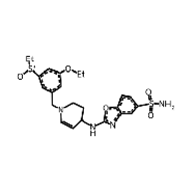 CCOc1cc(CN2C=CC(Nc3nc4cc(S(N)(=O)=O)ccc4o3)CC2)cc([S+]([O-])CC)c1